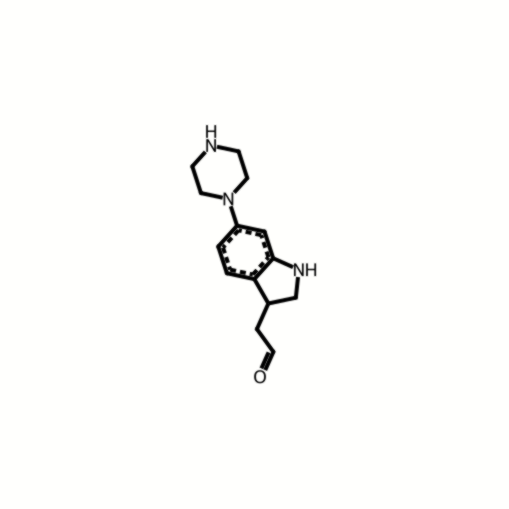 O=CCC1CNc2cc(N3CCNCC3)ccc21